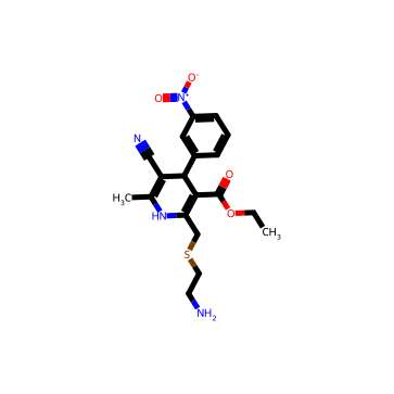 CCOC(=O)C1=C(CSCCN)NC(C)=C(C#N)C1c1cccc([N+](=O)[O-])c1